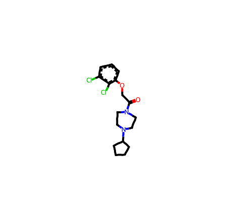 O=C(COc1cccc(Cl)c1Cl)N1CCN(C2CCCC2)CC1